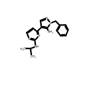 CC(C)Nc1nccc(-c2cnn(Cc3ccccc3)c2N)n1